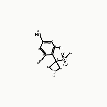 CS(=O)(=O)C1(c2c(F)cc(O)cc2F)COC1